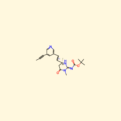 CC#Cc1cncc(/C=C/[C@]2(C)CC(=O)N(C)C(=NC(=O)OC(C)(C)C)N2)c1